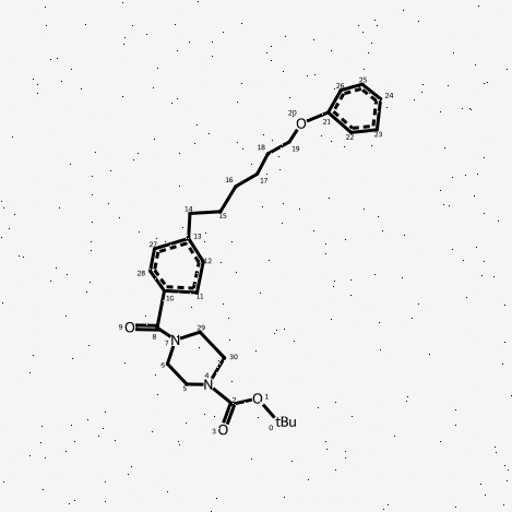 CC(C)(C)OC(=O)N1CCN(C(=O)c2ccc(CCCCCCOc3ccccc3)cc2)CC1